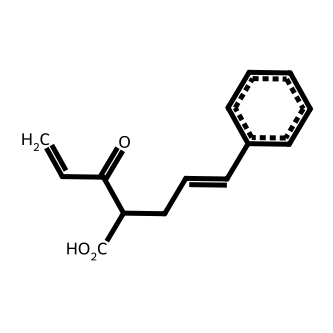 C=CC(=O)C(CC=Cc1ccccc1)C(=O)O